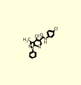 Cc1nn(-c2ccccc2)c2ncc(C(=O)Nc3ccc(Cl)cc3)c(C(F)(F)F)c12